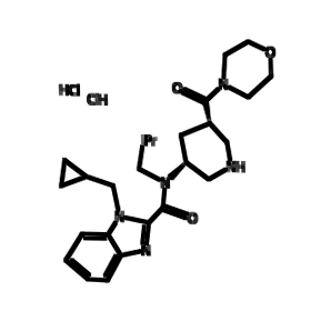 CC(C)CN(C(=O)c1nc2ccccc2n1CC1CC1)[C@@H]1CNC[C@H](C(=O)N2CCOCC2)C1.Cl.Cl